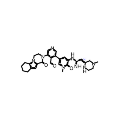 CN1CCN/C(=C\C(=N)Nc2cc(-c3cncc(N4CCn5c(cc6c5CCCC6)C4=O)c3C=O)cn(C)c2=O)C1